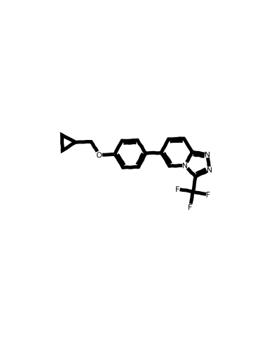 FC(F)(F)c1nnc2ccc(-c3ccc(OCC4CC4)cc3)cn12